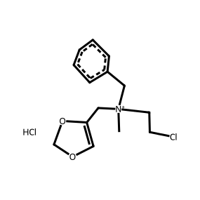 C[N+](CCCl)(CC1=COCO1)Cc1ccccc1.Cl